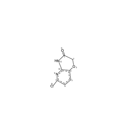 O=C1COc2ccc(Cl)nc2N1